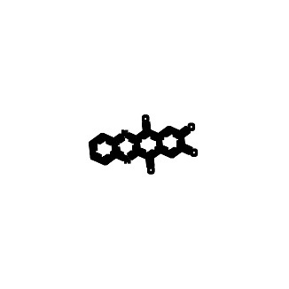 O=c1cc2c(=O)c3nc4ccccc4nc3c(=O)c-2cc1=O